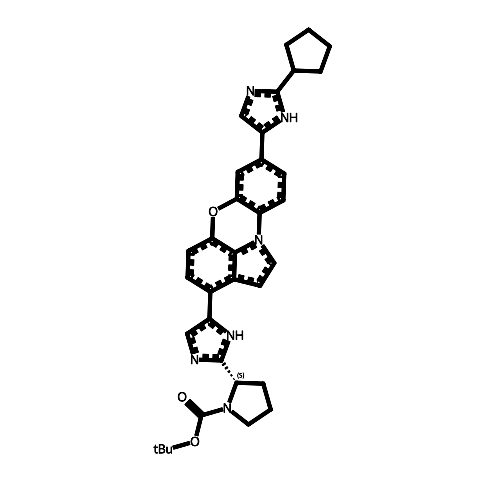 CC(C)(C)OC(=O)N1CCC[C@H]1c1ncc(-c2ccc3c4c2ccn4-c2ccc(-c4cnc(C5CCCC5)[nH]4)cc2O3)[nH]1